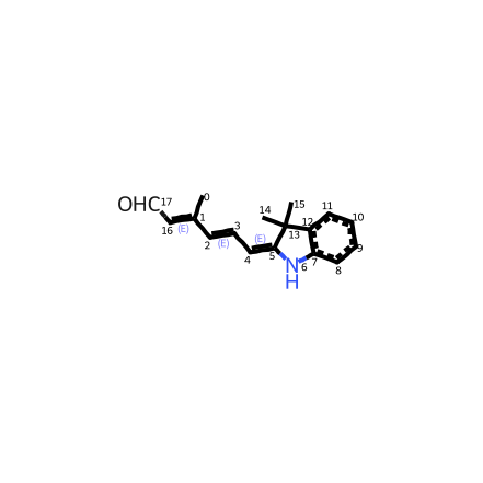 CC(/C=C/C=C1/Nc2ccccc2C1(C)C)=C\C=O